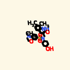 Cc1ccc2cc(CN(C3CCC(O)CC3)S(=O)(=O)c3ccc4c(c3)OCCN4C)c(=O)[nH]c2c1C